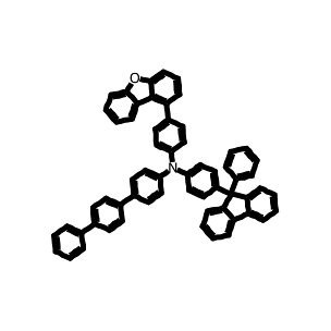 c1ccc(-c2ccc(-c3ccc(N(c4ccc(-c5cccc6oc7ccccc7c56)cc4)c4ccc(C5(c6ccccc6)c6ccccc6-c6ccccc65)cc4)cc3)cc2)cc1